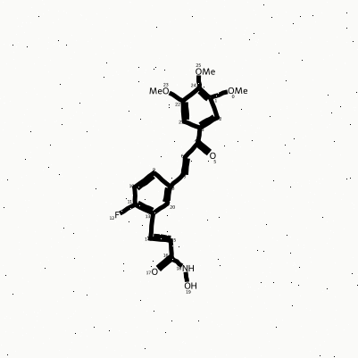 COc1cc(C(=O)/C=C/c2ccc(F)c(/C=C/C(=O)NO)c2)cc(OC)c1OC